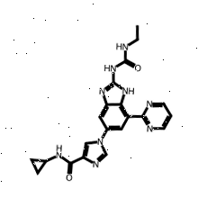 CCNC(=O)Nc1nc2cc(-n3cnc(C(=O)NC4CC4)c3)cc(-c3ncccn3)c2[nH]1